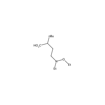 CCCCC(CCN(CC)OCC)C(=O)O